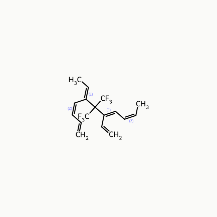 C=C/C=C\C(=C/C)C(/C(C=C)=C/C=C\C)(C(F)(F)F)C(F)(F)F